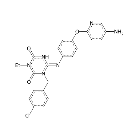 CCn1c(=O)[nH]/c(=N\c2ccc(Oc3ccc(N)cn3)cc2)n(Cc2ccc(Cl)cc2)c1=O